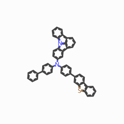 c1ccc(-c2ccc(N(c3ccc(-c4ccc5c(c4)sc4ccccc45)cc3)c3ccc4c(c3)c3cccc5c6ccccc6n4c53)cc2)cc1